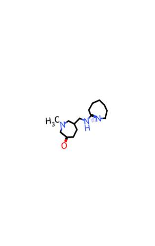 CN1CC(=O)CCC(CN/C2=N/CCCCCC2)C1